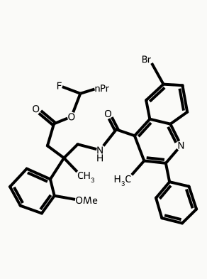 CCCC(F)OC(=O)CC(C)(CNC(=O)c1c(C)c(-c2ccccc2)nc2ccc(Br)cc12)c1ccccc1OC